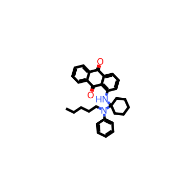 CCCCCN(c1ccccc1)C1(Nc2cccc3c2C(=O)c2ccccc2C3=O)CCCCC1